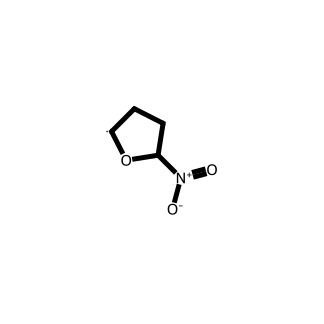 O=[N+]([O-])C1CC[CH]O1